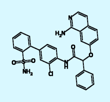 Nc1nccc2ccc(OC(C(=O)Nc3ccc(-c4ccccc4S(N)(=O)=O)cc3Cl)c3ccccc3)cc12